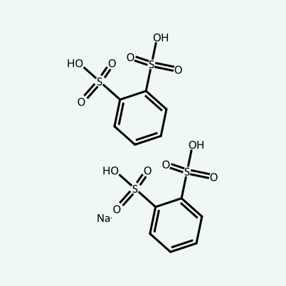 O=S(=O)(O)c1ccccc1S(=O)(=O)O.O=S(=O)(O)c1ccccc1S(=O)(=O)O.[Na]